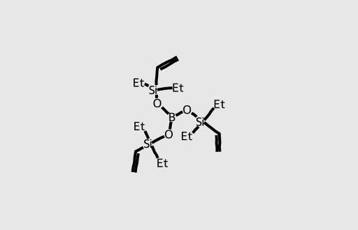 C=C[Si](CC)(CC)OB(O[Si](C=C)(CC)CC)O[Si](C=C)(CC)CC